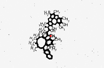 BC1=C(C)/C(C)=C(/C)CC(c2ccc3ccccc3c2)c2c(O)c(C)c(C)c(C)c2C(/C(C)=C(C)/C(O)=C(\C(=C)C)c2c(C)c3c4c(c2O)Cc2c(C)c(O)c(C)c5c2-c2c(c(C)c(B)c(c2-4)C3)C5)=C\1C